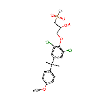 CCCCOc1ccc(C(C)(C)c2cc(Cl)c(OCC(O)CS(=O)(=O)CC)c(Cl)c2)cc1